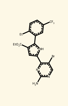 CCOC(=O)c1cc(-c2nc(N)ncc2Br)[nH]c1-c1cc(C(F)(F)F)ccc1CC